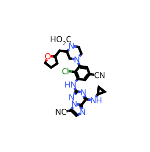 N#Cc1cc(Nc2nc(NC3CC3)c3ncc(C#N)n3n2)c(Cl)c(N2CCN(C(=O)O)C(CC3CCCO3)C2)c1